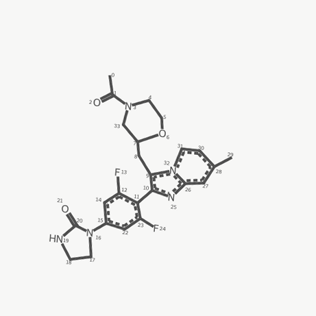 CC(=O)N1CCOC(Cc2c(-c3c(F)cc(N4CCNC4=O)cc3F)nc3cc(C)ccn23)C1